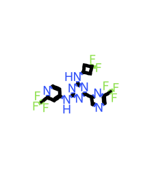 FC1(F)CC(Nc2nc(Nc3ccnc(C(F)(F)F)c3)nc(-c3cncc(C(F)(F)F)n3)n2)C1